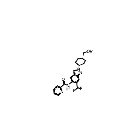 O=C(Nc1cc2cn([C@H]3CC[C@H](CO)CC3)nc2cc1C(F)F)c1ccccn1